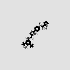 CC(C)(C)c1cc(NC(=O)C2CSC(c3ccc(NC(=N)c4cccs4)cc3)N2)cc(C(C)(C)C)c1O